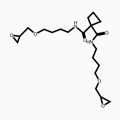 O=C(NCCCCOCC1CO1)C1(C(=O)NCCCCOCC2CO2)CCC1